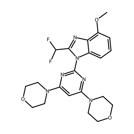 COc1cccc2c1nc(C(F)F)n2-c1nc(N2CCOCC2)cc(N2CCOCC2)n1